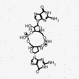 Nc1nc2c(ncn2C2O[C@@H]3COP(=O)(O)O[C@H]4C[C@H](n5cnc6c(=O)[nH]c(N)nc65)O[C@@H]4COP(=O)(O)O[C@H]3[C@H]2O)c(=O)[nH]1